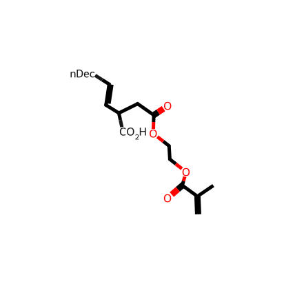 C=C(C)C(=O)OCCOC(=O)CC(C=CCCCCCCCCCC)C(=O)O